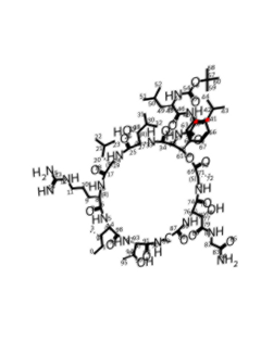 CC[C@H](C)[C@@H]1NC(=O)[C@@H](CCCNC(=N)N)NC(=O)[C@H](CC(C)C)NC(=O)[C@H]([C@H](O)C(C)C)NC(=O)[C@@H](NC(=O)[C@H](CC(C)C)NC(=O)[C@@H](CC(C)C)NC(=O)OC(C)(C)C)[C@@H](c2ccccc2)OC(=O)[C@H](C)NC(=O)[C@H]([C@H](O)C(=O)NCC(N)=O)NC(=O)CNC(=O)[C@H]([C@H](C)O)NC1=O